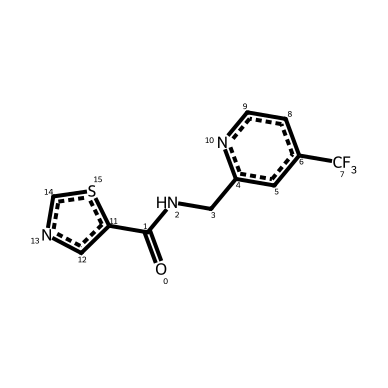 O=C(NCc1cc(C(F)(F)F)ccn1)c1cncs1